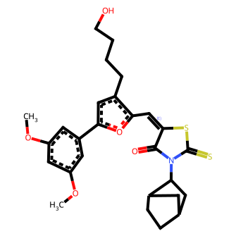 COc1cc(OC)cc(-c2cc(CCCCO)c(/C=C3/SC(=S)N(C4CC5CCC4C5)C3=O)o2)c1